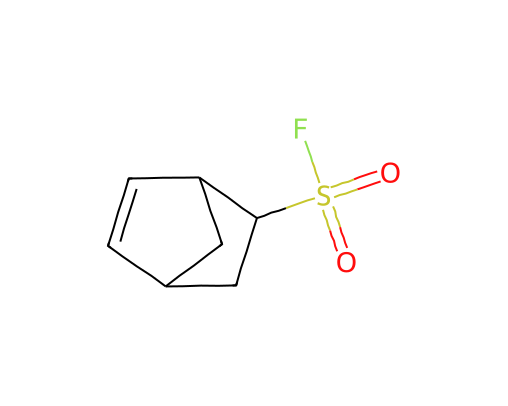 O=S(=O)(F)C1CC2C=CC1C2